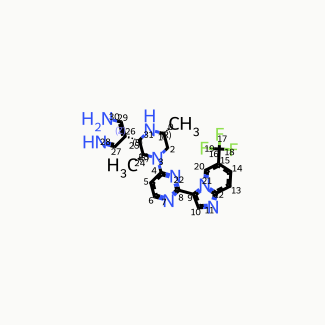 C[C@@H]1CN(c2ccnc(-c3cnc4ccc(C(F)(F)F)cn34)n2)[C@H](C)[C@H](/C(C=N)=C/N)N1